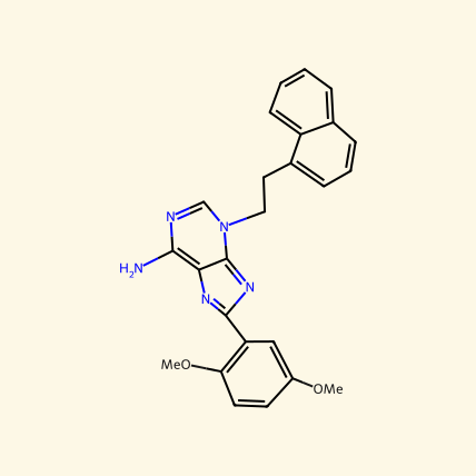 COc1ccc(OC)c(-c2nc3c(N)ncn(CCc4cccc5ccccc45)c-3n2)c1